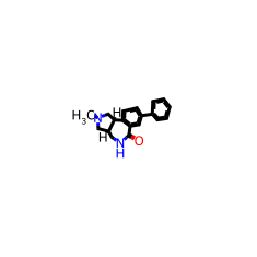 CN1C[C@@H]2CNC(=O)c3cc(-c4ccccc4)ccc3[C@H]2C1